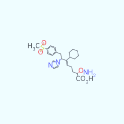 CS(=O)(=O)c1ccc(CC(C(=CCCC(ON)C(=O)O)C2CCCCC2)n2ccnc2)cc1